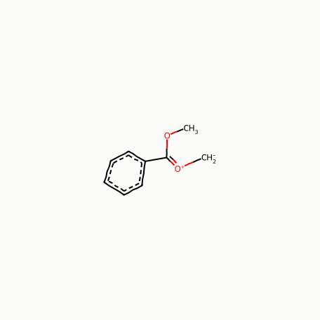 [CH2-]/[O+]=C(\OC)c1ccccc1